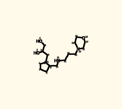 OCC(O)CN1CCCC1CNCCCN1CCOCC1